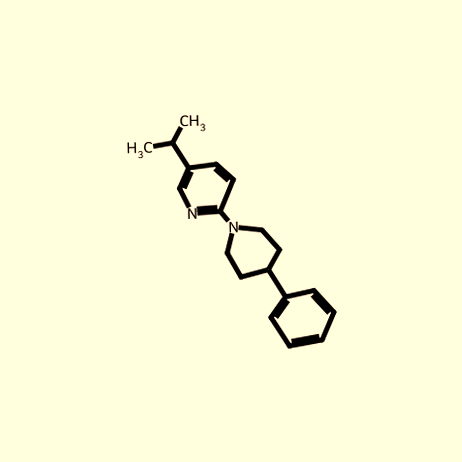 CC(C)c1ccc(N2CCC(c3ccccc3)CC2)nc1